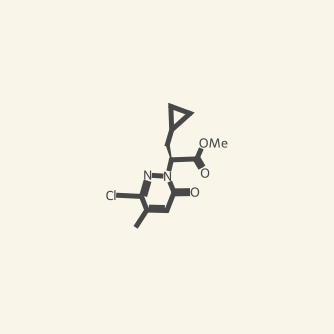 COC(=O)[C@H](CC1CC1)n1nc(Cl)c(C)cc1=O